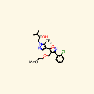 C=C(C)[C@H](O)Cn1ncc(-c2onc(-c3ccccc3Cl)c2COCCOC)c1C(F)(F)F